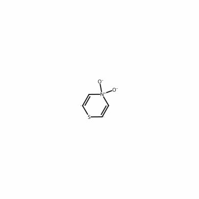 [O-][N+]1([O-])C=[C]S[C]=C1